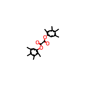 Cc1cc(OC(=O)C(=O)Oc2cc(C)c(C)c(C)c2C)c(C)c(C)c1C